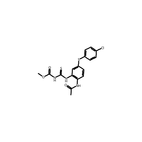 COC(=O)NC(=S)Nc1cc(Sc2ccc(Cl)cc2)ccc1NC(C)=O